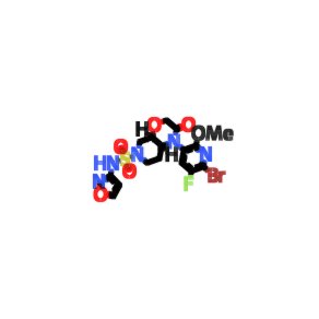 COc1nc(Br)c(F)cc1N1C(=O)CO[C@@H]2CN(S(=O)(=O)Nc3ccon3)CC[C@H]21